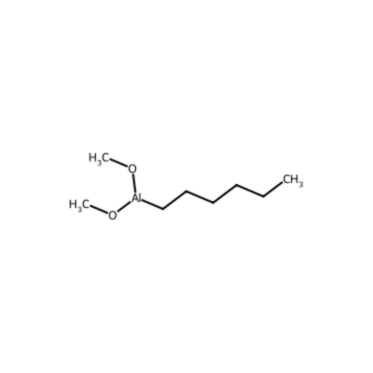 CCCCC[CH2][Al]([O]C)[O]C